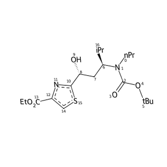 CCCN(C(=O)OC(C)(C)C)[C@@H](C[C@@H](O)c1nc(C(=O)OCC)cs1)C(C)C